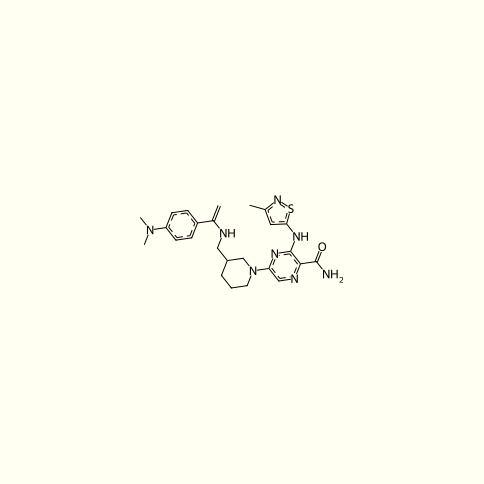 C=C(NCC1CCCN(c2cnc(C(N)=O)c(Nc3cc(C)ns3)n2)C1)c1ccc(N(C)C)cc1